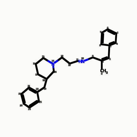 CC(=Cc1ccccc1)CNCCCN1CCCC(Cc2ccccc2)C1